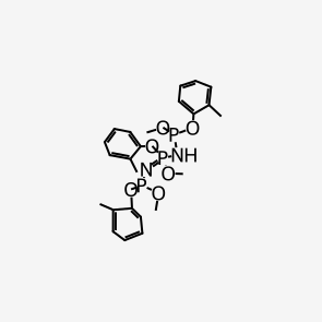 COP(N=P(NP(OC)Oc1ccccc1C)(OC)Oc1ccccc1C)Oc1ccccc1C